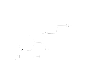 NCCNC(=O)C(O)C(O)C(N)=O